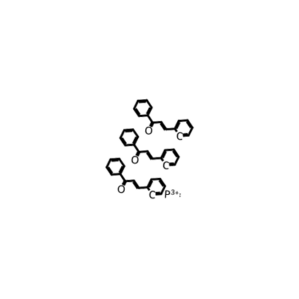 O=C(/C=C/c1[c-]cccc1)c1ccccc1.O=C(/C=C/c1[c-]cccc1)c1ccccc1.O=C(/C=C/c1[c-]cccc1)c1ccccc1.[P+3]